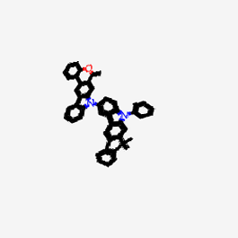 C=C1Oc2ccccc2-c2cc3c4ccccc4n(-c4ccc5c(c4)c4cc6c(cc4n5-c4ccccc4)C(C)(C)c4ccccc4-6)c3cc21